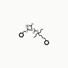 CCCC(CCC)(CCCCc1ccccc1)OC(=O)C[C@H](NC(=O)OCc1ccccc1)C(=O)O